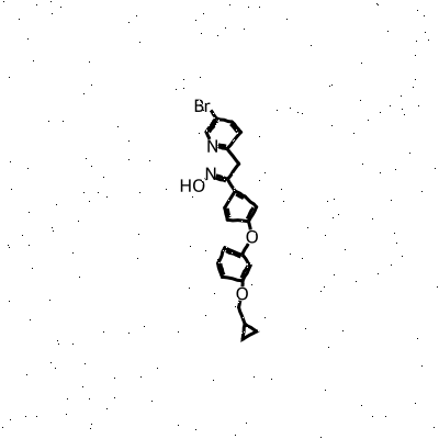 ON=C(Cc1ccc(Br)cn1)c1ccc(Oc2cccc(OCC3CC3)c2)cc1